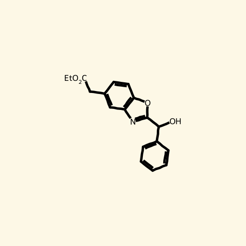 CCOC(=O)Cc1ccc2oc(C(O)c3ccccc3)nc2c1